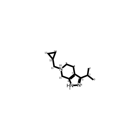 CC(C)c1n[nH]c2c1CCN(CC1CC1)C2